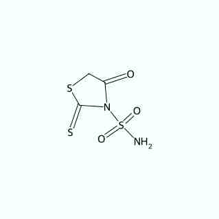 NS(=O)(=O)N1C(=O)CSC1=S